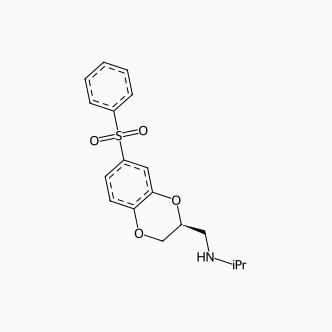 CC(C)NC[C@H]1COc2ccc(S(=O)(=O)c3ccccc3)cc2O1